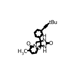 Cc1cccn(CC2(c3cccc(C#CC(C)(C)C)c3)NC(=O)NC2=O)c1=O